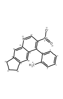 Cc1ccccc1-c1c([N+](=O)[O-])cnc2cc3c(cc12)CCC3